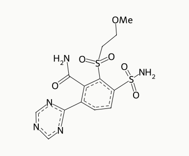 COCCS(=O)(=O)c1c(S(N)(=O)=O)ccc(-c2ncncn2)c1C(N)=O